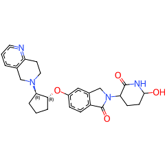 O=C1NC(O)CCC1N1Cc2cc(O[C@@H]3CCC[C@H]3N3CCc4ncccc4C3)ccc2C1=O